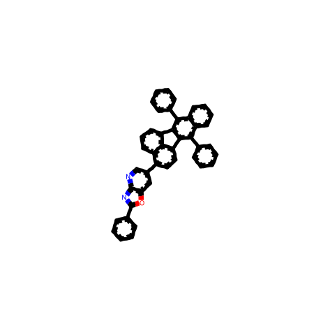 c1ccc(-c2nc3ncc(-c4ccc5c6c(cccc46)-c4c-5c(-c5ccccc5)c5ccccc5c4-c4ccccc4)cc3o2)cc1